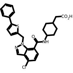 O=C(O)CC1CCC(NC(=O)c2ccc(Cl)c3cnn(Cc4ccc(-c5ccccc5)s4)c23)CC1